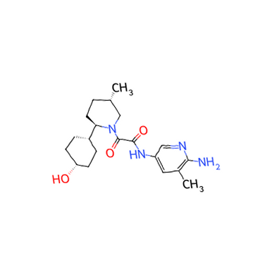 Cc1cc(NC(=O)C(=O)N2C[C@@H](C)CC[C@@H]2[C@H]2CC[C@@H](O)CC2)cnc1N